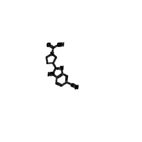 N#Cc1ccc2[nH]c(C3CCN(C(=O)O)C3)nc2c1